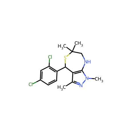 Cc1nn(C)c2c1C(c1ccc(Cl)cc1Cl)SC(C)(C)CN2